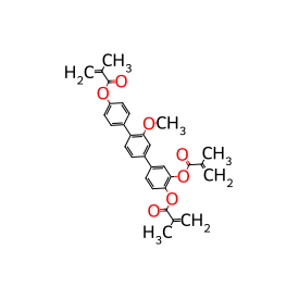 C=C(C)C(=O)Oc1ccc(-c2ccc(-c3ccc(OC(=O)C(=C)C)c(OC(=O)C(=C)C)c3)cc2OC)cc1